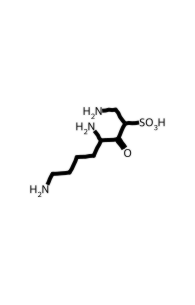 NCCCCC(N)C(=O)C(CN)S(=O)(=O)O